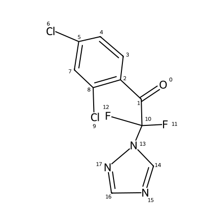 O=C(c1ccc(Cl)cc1Cl)C(F)(F)n1cncn1